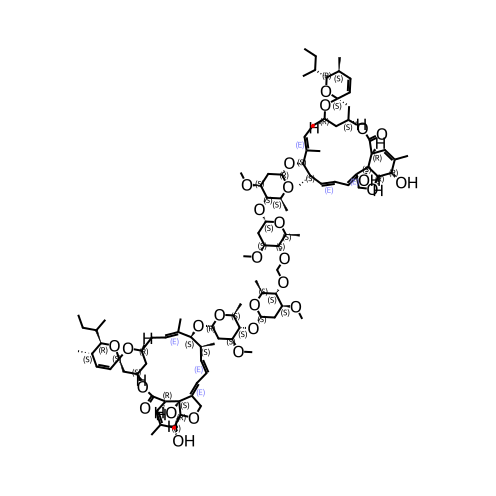 CCC(C)[C@H]1O[C@]2(C=C[C@@H]1C)C[C@@H]1C[C@@H](C/C=C(\C)[C@@H](O[C@H]3C[C@H](OC)[C@@H](O[C@H]4C[C@H](OC)[C@@H](OCO[C@H]5[C@H](C)O[C@@H](O[C@H]6[C@H](C)O[C@@H](O[C@@H]7/C(C)=C/C[C@@H]8C[C@@H](C[C@]9(C=C[C@H](C)[C@@H](C(C)CC)O9)O8)OC(=O)[C@@H]8C=C(C)[C@@H](O)[C@H]9OC/C(=C\C=C\[C@@H]7C)[C@]98O)C[C@@H]6OC)C[C@@H]5OC)[C@H](C)O4)[C@H](C)O3)[C@@H](C)/C=C/C=C3\CO[C@@H]4[C@H](O)C(C)=C[C@@H](C(=O)O1)[C@]34O)O2